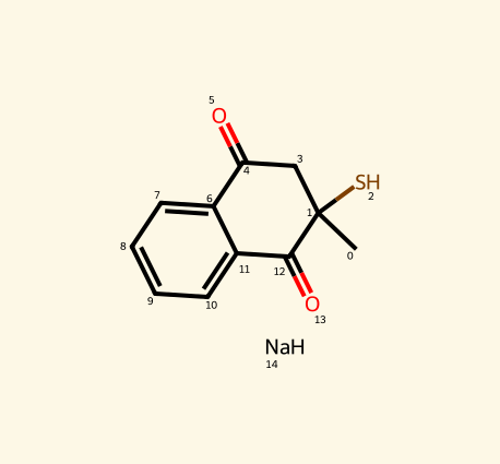 CC1(S)CC(=O)c2ccccc2C1=O.[NaH]